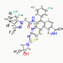 C=C1NCc2c1cccc2-c1cc2sc(N3CC(C)(O)C3)nc2nc1[C@H](Cc1cc(F)cc(F)c1)NC(=O)Cn1nc(C(F)(F)F)c2c1C(F)(F)[C@@H]1C[C@H]21